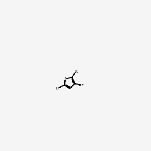 CCc1cc(C(C)C)c(CC)o1